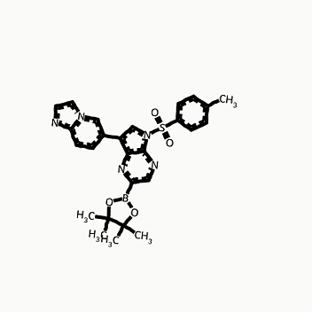 Cc1ccc(S(=O)(=O)n2cc(-c3ccc4nccn4c3)c3nc(B4OC(C)(C)C(C)(C)O4)cnc32)cc1